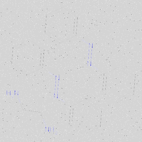 NCCN.c1ccc(N=Nc2ccccc2)cc1.c1ccc(N=Nc2ccccc2)cc1